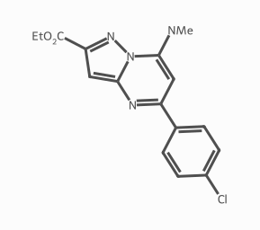 CCOC(=O)c1cc2nc(-c3ccc(Cl)cc3)cc(NC)n2n1